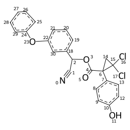 N#CC(OC(=O)C1(c2ccc(O)cc2)CC1(Cl)Cl)c1cccc(Oc2ccccc2)c1